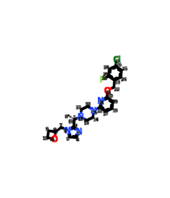 C[C@@H](c1nccn1C[C@@H]1CCO1)N1CCN(c2cccc(OCc3ccc(Cl)cc3F)n2)CC1